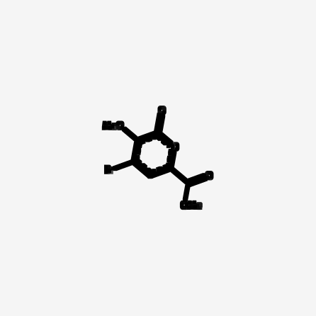 COC(=O)c1cc(Br)c(OC)c(=O)o1